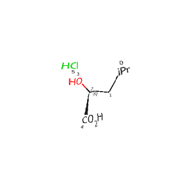 CC(C)C[C@H](O)C(=O)O.Cl